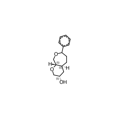 O[C@@H]1CO[C@@H]2COC(c3ccccc3)CC[C@H]2C1